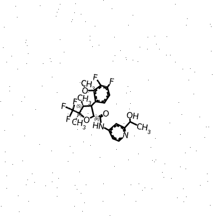 COc1c(C2[C@H](C(=O)Nc3ccnc(C(C)O)c3)O[C@@](C)(C(F)(F)F)[C@H]2C)ccc(F)c1F